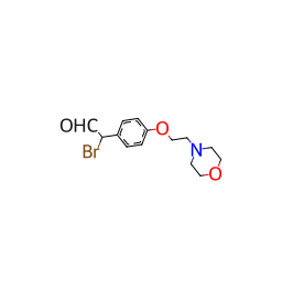 O=CC(Br)c1ccc(OCCN2CCOCC2)cc1